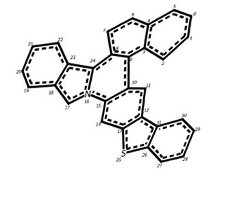 c1ccc2c(c1)ccc1c2c2cc3c(cc2n2cc4ccccc4c12)sc1ccccc13